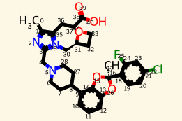 Cc1nc(CN2CCC(c3cccc4c3O[C@@](C)(c3ccc(Cl)cc3F)O4)CC2)n(C[C@@H]2CCO2)c1CCC(=O)O